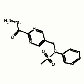 CS(=O)(=O)N(Cc1cnc(C(=O)NN)nc1)c1ccccc1